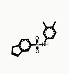 Cc1ccc(NS(=O)(=O)c2ccc3c(c2)C=CC3)cc1C